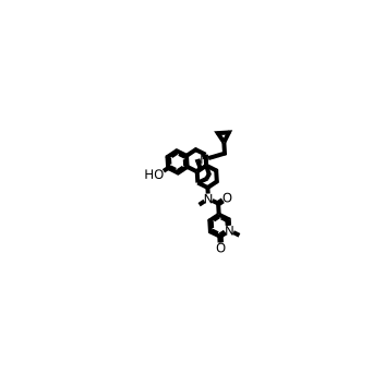 CN(C(=O)c1ccc(=O)n(C)c1)C1CCC23CCC1C21CCN(CC2CC2)C3Cc2ccc(O)cc21